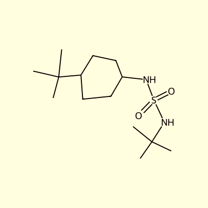 CC(C)(C)NS(=O)(=O)NC1CCC(C(C)(C)C)CC1